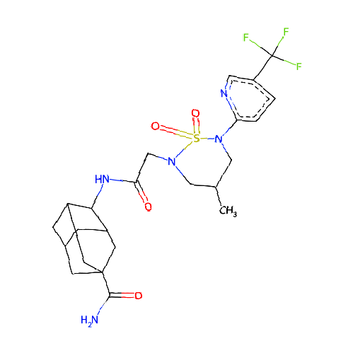 CC1CN(CC(=O)NC2C3CC4CC2CC(C(N)=O)(C4)C3)S(=O)(=O)N(c2ccc(C(F)(F)F)cn2)C1